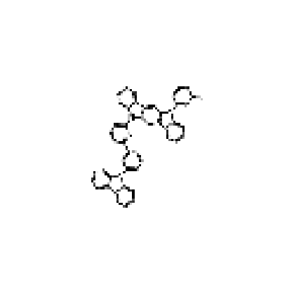 CC1C=C(n2c3c(c4ccccc42)CC2C(=C3)c3ccccc3N2c2cccc(-c3cccc(-n4c5ccccc5c5ccccc54)c3)n2)C=CC1